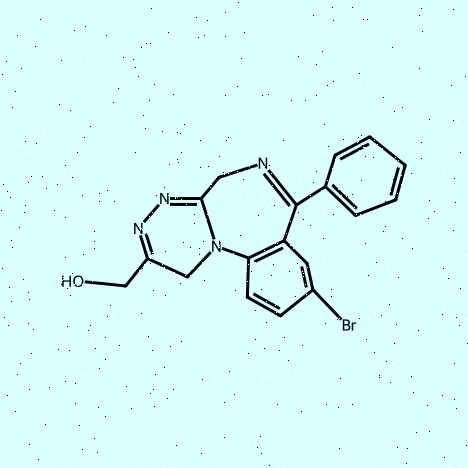 OCC1=NN=C2CN=C(c3ccccc3)c3cc(Br)ccc3N2C1